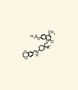 [C-]#[N+]C1(CCn2c(=O)cc(C)c3ccc(OC)cc32)CCC(NCc2ccc3c(c2)OCCO3)CC1